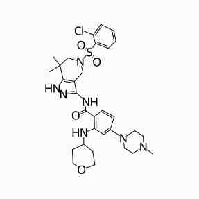 CN1CCN(c2ccc(C(=O)Nc3n[nH]c4c3CN(S(=O)(=O)c3ccccc3Cl)CC4(C)C)c(NC3CCOCC3)c2)CC1